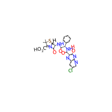 CC1(C)S[C@@H]2C(NC(=O)C(NC(=O)c3nc4cc(Cl)cnc4nc3O)c3ccccc3)C(=O)N2[C@H]1C(=O)O